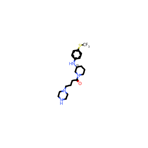 O=C(CCCN1CCNCC1)N1CCC[C@H](Nc2ccc(SC(F)(F)F)cc2)C1